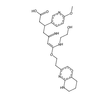 COc1ccc(C(CC(=N)/C=C(\NCCO)OCCc2ccc3c(n2)NCCC3)CC(=O)O)cn1